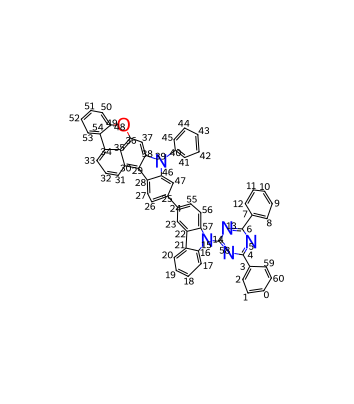 c1ccc(-c2nc(-c3ccccc3)nc(-n3c4ccccc4c4cc(-c5ccc6c7c8cccc9c8c(cc7n(-c7ccccc7)c6c5)Oc5ccccc5-9)ccc43)n2)cc1